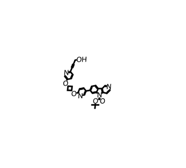 CC(C)(C)OC(=O)n1c2ccncc2c2ccc(-c3ccc(O[C@H]4C[C@H](Oc5ccc(C#CCO)nc5)C4)nc3)cc21